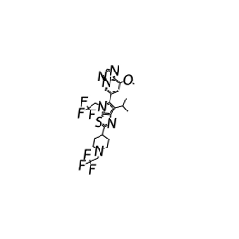 COc1cc(-c2c(C(C)C)c3nc(C4CCN(CC(F)(F)F)CC4)sc3n2CC(F)(F)F)cn2ncnc12